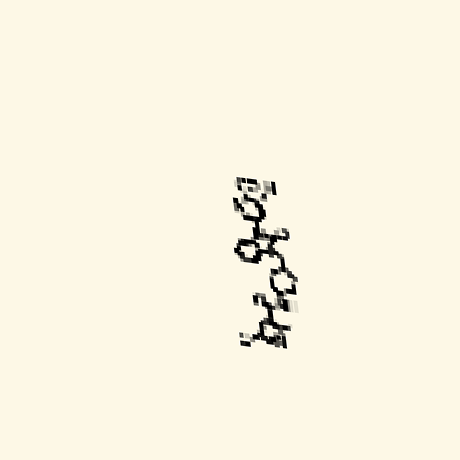 Cc1ncc(Cl)cc1C(=O)NC1CCC(Cn2c(=O)n(-c3ccc(C(=O)O)nc3)c3ccccc32)CC1